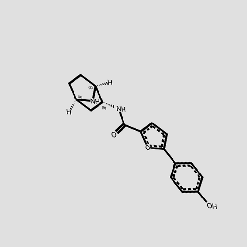 O=C(N[C@@H]1C[C@H]2CC[C@@H]1N2)c1ccc(-c2ccc(O)cc2)o1